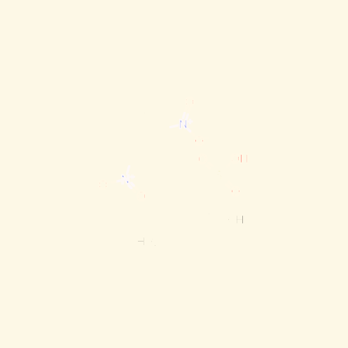 Cc1ccc(S(=O)(=O)O)c(C)c1.O=[N+]([O-])c1cccc([N+](=O)[O-])c1